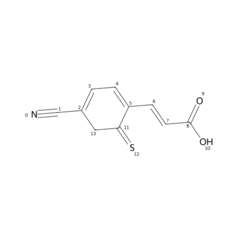 N#CC1=CC=C(C=CC(=O)O)C(=S)C1